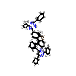 c1ccc(-c2cc(-c3ccccc3-c3cccc4sc5cc(-c6nc(-c7ccccc7)nc(-c7ccccc7)n6)ccc5c34)nc(-c3ccccc3)n2)cc1